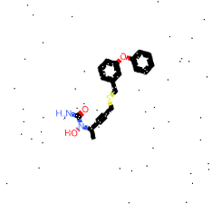 CC(C#CCSCc1cccc(Oc2ccccc2)c1)N(O)C(N)=O